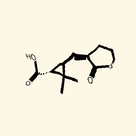 CC1(C)C(/C=C2/CCSC2=O)[C@H]1C(=O)O